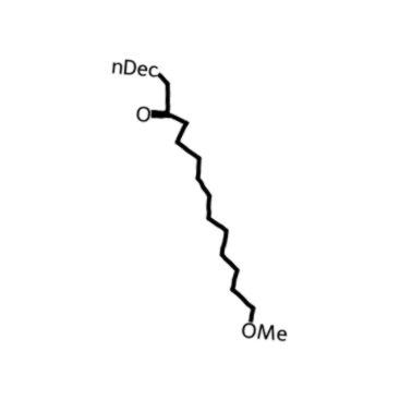 CCCCCCCCCCCC(=O)CCCCCCCCCCCOC